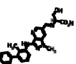 Cc1c(Nc2nn(C)c3cc(C=N[C@@H](CO)C(=O)O)cnc23)cccc1-c1ccccc1